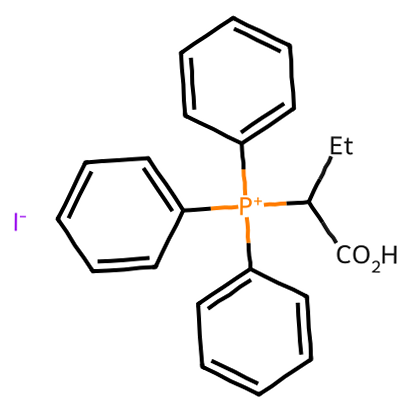 CCC(C(=O)O)[P+](c1ccccc1)(c1ccccc1)c1ccccc1.[I-]